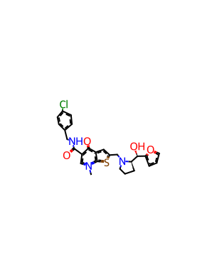 Cn1cc(C(=O)NCc2ccc(Cl)cc2)c(=O)c2cc(CN3CCC[C@@H]3[C@@H](O)c3ccco3)sc21